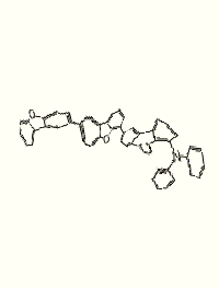 c1ccc(N(c2ccccc2)c2cccc3c2oc2ccc(-c4cccc5c4oc4ccc(-c6ccc7oc8ccccc8c7c6)cc45)cc23)cc1